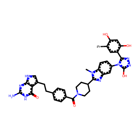 CC(C)c1cc(-c2nnc(O)n2-c2ccc3c(c2)nc(C2CCN(C(=O)c4ccc(CCc5c[nH]c6nc(N)[nH]c(=O)c56)cc4)CC2)n3C)c(O)cc1O